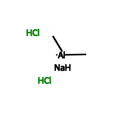 Cl.Cl.[CH3][Al][CH3].[NaH]